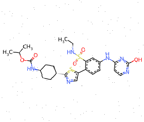 CCNS(=O)(=O)c1cc(Nc2ccnc(O)n2)ccc1-c1cnc([C@H]2CC[C@H](NC(=O)OC(C)C)CC2)s1